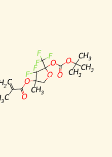 C=C(C)C(=O)OC1(C)COC(OC(=O)OC(C)(C)C)(C(F)(F)F)C1(F)F